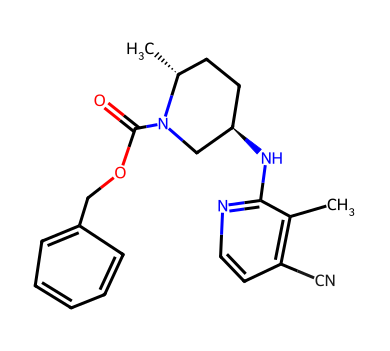 Cc1c(C#N)ccnc1N[C@@H]1CC[C@@H](C)N(C(=O)OCc2ccccc2)C1